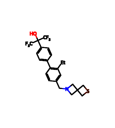 CCc1cc(CN2CC3(CSC3)C2)ccc1-c1ccc(C(O)(C(F)(F)F)C(F)(F)F)cc1